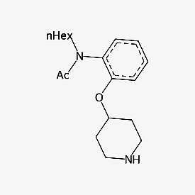 CCCCCCN(C(C)=O)c1ccccc1OC1CCNCC1